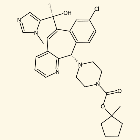 Cn1cncc1[C@@](C)(O)C1=Cc2cccnc2[C@@H](N2CCN(C(=O)OC3(C)CCCC3)CC2)c2ccc(Cl)cc21